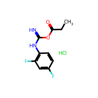 CCC(=O)OC(=N)Nc1ccc(F)cc1F.Cl